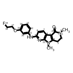 CN1CCc2c(c3ccc(Nc4cccc(OCCF)c4)nc3n2C)C1=O